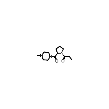 CCC(=O)N1CCCC1C(=O)N1CCN(C)CC1